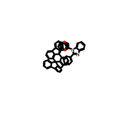 c1ccc(-n2c(-c3ccc(-c4cccc5c4C4(c6ccccc6-5)c5ccccc5C5(c6ccccc6)c6ccccc6-c6cccc4c65)cc3)nc3ccccc32)cc1